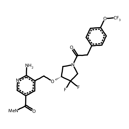 CNC(=O)c1cnc(N)c(CO[C@@H]2CN(C(=O)Cc3ccc(OC(F)(F)F)cc3)CC2(F)F)c1